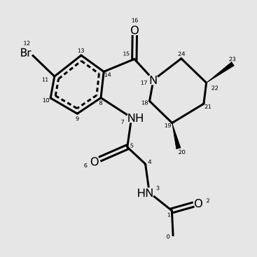 CC(=O)NCC(=O)Nc1ccc(Br)cc1C(=O)N1C[C@H](C)C[C@H](C)C1